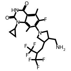 Cc1c(F)c(N2CC(CN)C(CC(C(F)(F)F)C(F)(F)F)C2)c(C)c2c1c(=O)[nH]c(=O)n2C1CC1